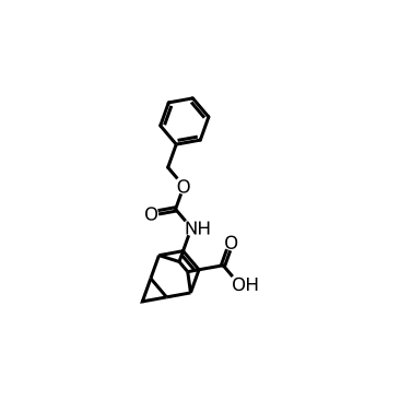 O=C(NC1C2C=CC(C3CC23)C1C(=O)O)OCc1ccccc1